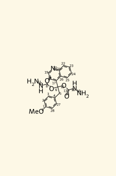 COc1ccc(CC(OC(=O)NN)(OC(=O)NN)c2ccnc3ccccc23)cc1